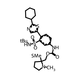 CSC1(COC(=O)Nc2ccc(-c3cnc(C4CCCCC4)s3)c(S(=O)(=O)NC(C)(C)C)c2)CCCN1C